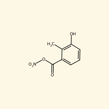 Cc1c(O)cccc1C(=O)O[N+](=O)[O-]